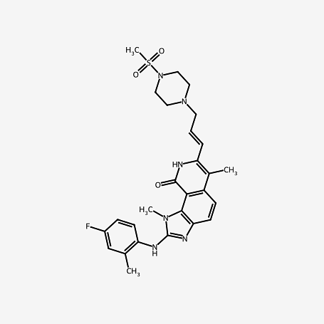 Cc1cc(F)ccc1Nc1nc2ccc3c(C)c(/C=C/CN4CCN(S(C)(=O)=O)CC4)[nH]c(=O)c3c2n1C